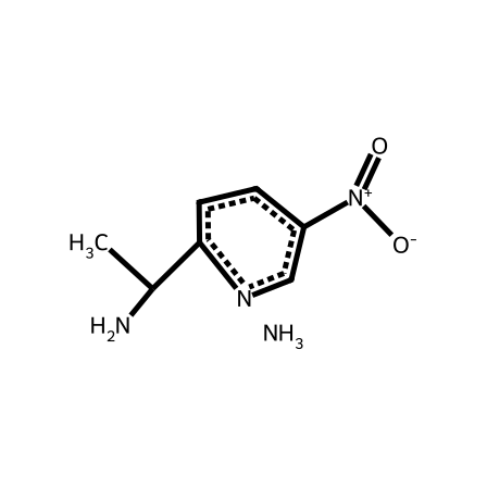 CC(N)c1ccc([N+](=O)[O-])cn1.N